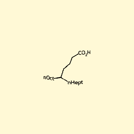 CCCCCCCCC(CCCCCCC)CCCC(=O)O